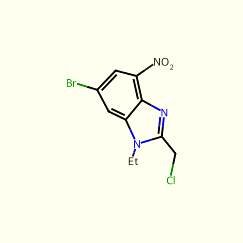 CCn1c(CCl)nc2c([N+](=O)[O-])cc(Br)cc21